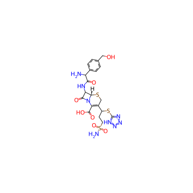 NC(C(=O)NC1C(=O)N2C(C(=O)O)=C(C(CCS(N)(=O)=O)Sc3nnn[nH]3)CS[C@@H]12)c1ccc(CO)cc1